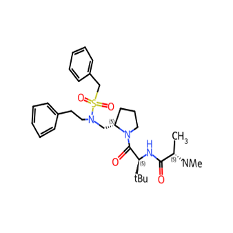 CN[C@@H](C)C(=O)N[C@H](C(=O)N1CCC[C@H]1CN(CCc1ccccc1)S(=O)(=O)Cc1ccccc1)C(C)(C)C